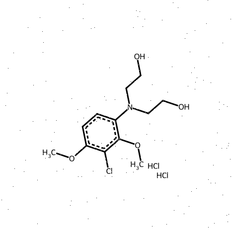 COc1ccc(N(CCO)CCO)c(OC)c1Cl.Cl.Cl